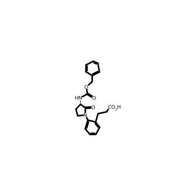 O=C(O)CCc1ccccc1N1CC[C@H](NC(=O)OCc2ccccc2)C1=O